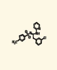 Cc1ccc(S(=O)(=O)N=C(Cc2cccc(Cl)c2)Nc2ccccn2)cc1